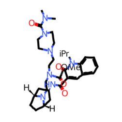 COC(=O)N(CCN1CCN(C(=O)N(C)C)CC1)CCN1[C@@H]2CC[C@H]1C[C@@H](NC(=O)c1cc3ccccc3n(C(C)C)c1=O)C2